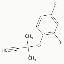 C#CC(C)(C)Oc1ccc(F)cc1F